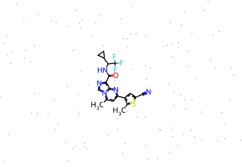 Cc1sc(C#N)cc1-c1cc(C)n2cnc(C(=O)NC(C3CC3)C(F)(F)F)c2n1